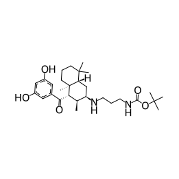 C[C@@H]1[C@H](NCCCNC(=O)OC(C)(C)C)C[C@H]2C(C)(C)CCC[C@]2(C)[C@H]1C(=O)c1cc(O)cc(O)c1